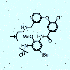 COc1c(NC(=O)c2ccc(Cl)c(Oc3ccnc(CNCCN(C)C)c3)c2)cc(C(C)(C)C)cc1N[SH](C)(C)=O